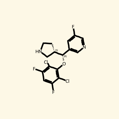 Fc1cncc([C@H](Oc2c(Cl)c(F)cc(F)c2Cl)[C@H]2CCNC2)c1